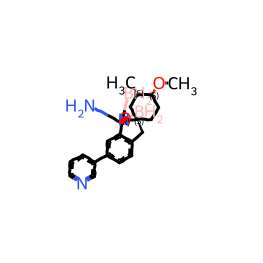 BC1(B)OC(N)=N[C@]12c1cc(-c3cccnc3)ccc1C[C@@]21CC[C@H](OC)[C@@H](C)C1